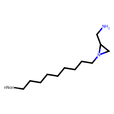 CCCCCCCCCCCCCCCCCCN1CC1CN